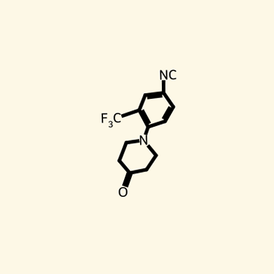 [C-]#[N+]c1ccc(N2CCC(=O)CC2)c(C(F)(F)F)c1